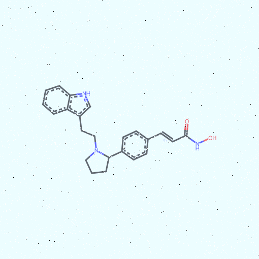 O=C(/C=C/c1ccc(C2CCCN2CCc2c[nH]c3ccccc23)cc1)NO